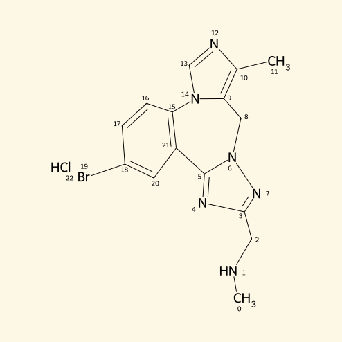 CNCc1nc2n(n1)Cc1c(C)ncn1-c1ccc(Br)cc1-2.Cl